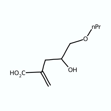 C=C(CC(O)COCCC)C(=O)O